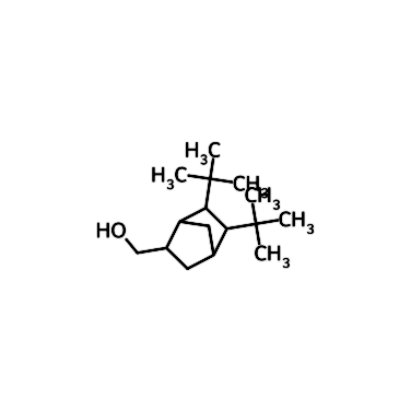 CC(C)(C)C1C2CC(CO)C(C2)C1C(C)(C)C